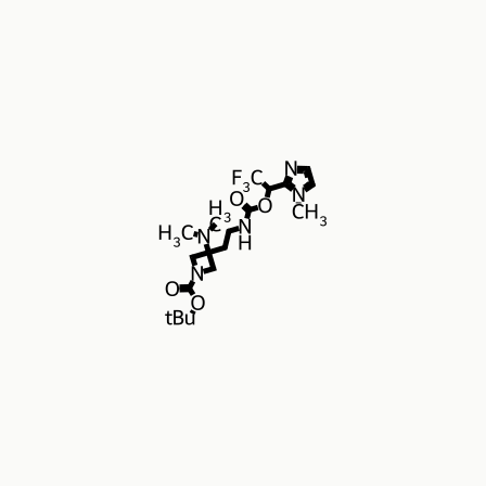 CN(C)C1(CCNC(=O)OC(c2nccn2C)C(F)(F)F)CN(C(=O)OC(C)(C)C)C1